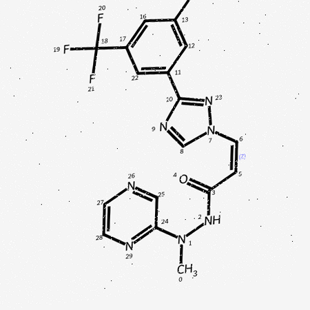 CN(NC(=O)/C=C\n1cnc(-c2cc(CF)cc(C(F)(F)F)c2)n1)c1cnccn1